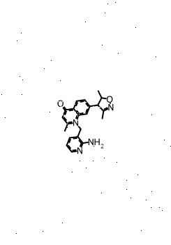 CC1=NOC(C)C1c1ccc2c(=O)cc(C)n(Cc3cccnc3N)c2c1